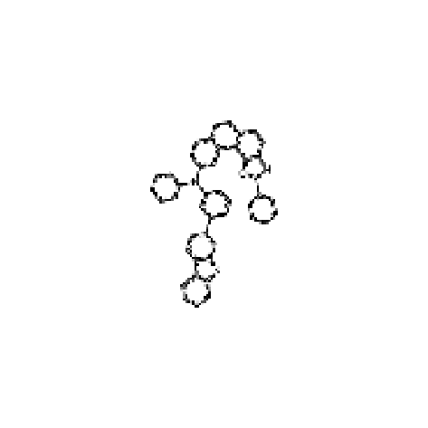 c1ccc(-c2nc3ccc4ccc5ccc(N(c6ccccc6)c6cccc(-c7ccc8c(c7)sc7ccccc78)c6)cc5c4c3o2)cc1